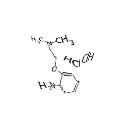 CN(C)CCOc1ccccc1N.Cl.Cl